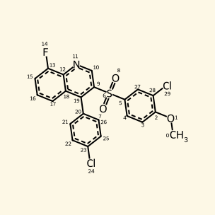 COc1ccc(S(=O)(=O)c2cnc3c(F)cccc3c2-c2ccc(Cl)cc2)cc1Cl